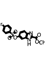 COC(=O)c1nc2ccc(OS(=O)(=O)c3ccc(Br)cc3)cc2[nH]1